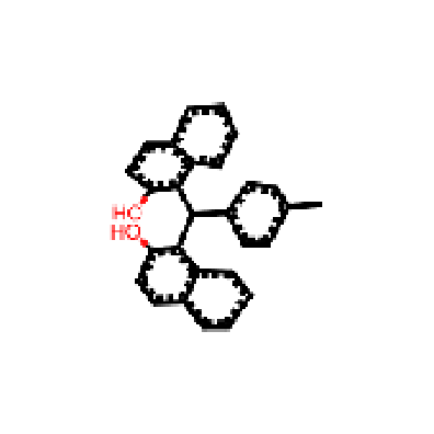 Cc1ccc(C(c2c(O)ccc3ccccc23)c2c(O)ccc3ccccc23)cc1